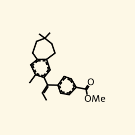 CC=C(c1ccc(C(=O)OC)cc1)c1cc2c(cc1C)CCC(C)(C)CC2